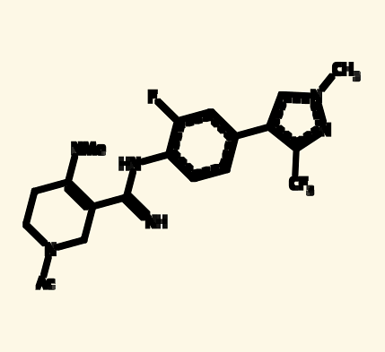 CNC1=C(C(=N)Nc2ccc(-c3cn(C)nc3C(F)(F)F)cc2F)CN(C(C)=O)CC1